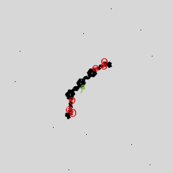 C=C(C)C(=O)OCCOc1ccc(/C=C/c2ccc(/C=C/c3cccc(OCCOC(=O)C(=C)C)c3)c(F)c2)cc1